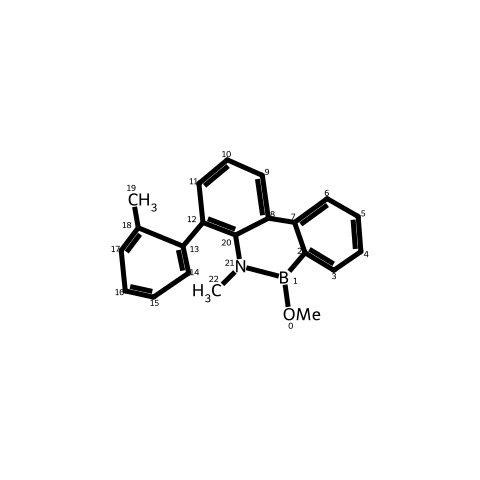 COB1c2ccccc2-c2cccc(-c3ccccc3C)c2N1C